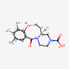 O=C(O)N1CCN2C(=O)c3cc(Cl)c(Br)c(F)c3OCC[C@H]2C1